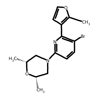 Cc1occc1-c1nc(N2C[C@@H](C)O[C@@H](C)C2)ccc1Br